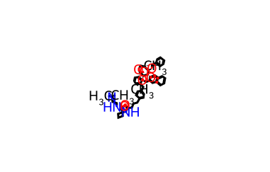 Cc1ccc([C@]23OC[C@](C)(O2)[C@@H](OCc2ccccc2)[C@H](OCc2ccccc2)[C@H]3OCc2ccccc2)cc1Cc1ccc(CCCC(=O)NC2(C(=O)NCCN(C)C)CCC2)cc1